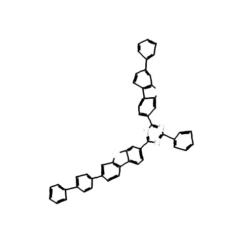 c1ccc(-c2ccc(-c3ccc4c(c3)oc3cc(-c5nc(-c6ccccc6)nc(-c6ccc7c(c6)sc6cc(-c8ccccc8)ccc67)n5)ccc34)cc2)cc1